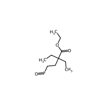 CCOC(=O)C(CC)(CC)CCP=O